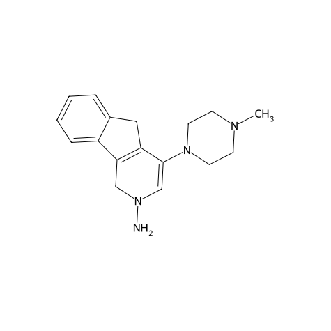 CN1CCN(C2=CN(N)CC3=C2Cc2ccccc23)CC1